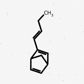 CCC=CC1=CC2C=CC1C2